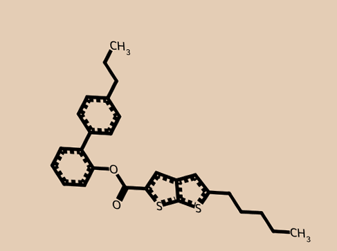 CCCCCc1cc2cc(C(=O)Oc3ccccc3-c3ccc(CCC)cc3)sc2s1